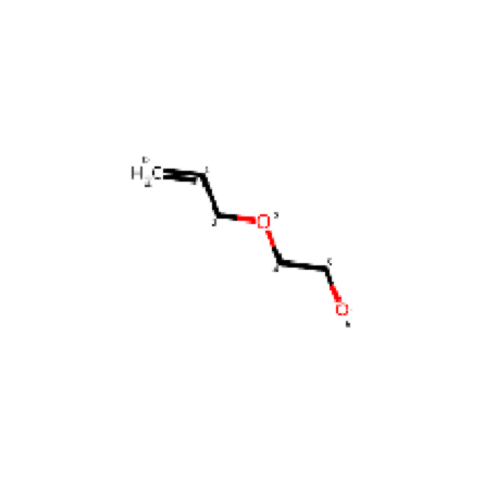 C=CCOCC[O]